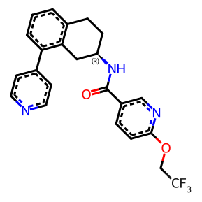 O=C(N[C@@H]1CCc2cccc(-c3ccncc3)c2C1)c1ccc(OCC(F)(F)F)nc1